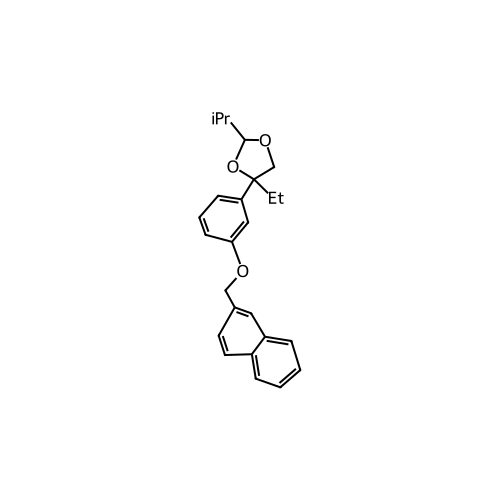 CCC1(c2cccc(OCc3ccc4ccccc4c3)c2)COC(C(C)C)O1